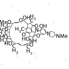 CNC1CCN(c2cc(O)c3nc4c5c6c7c(C)c(O)c5c(=O)c(c-4oc3c2)NC(=O)/C(C)=C\C=C\[C@H](C)[C@H](O)[C@@H](C)[C@@H](O)[C@@H](C)[C@H](OC(C)=O)[C@H](C)[C@@H](OC)/C=C/O[C@@H](O)C7[C@@H](C)C6=O)CC1